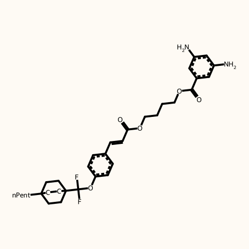 CCCCCC12CCC(C(F)(F)Oc3ccc(/C=C/C(=O)OCCCCOC(=O)c4cc(N)cc(N)c4)cc3)(CC1)CC2